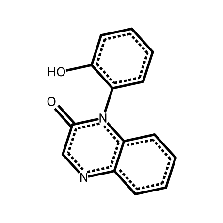 O=c1cnc2ccccc2n1-c1ccccc1O